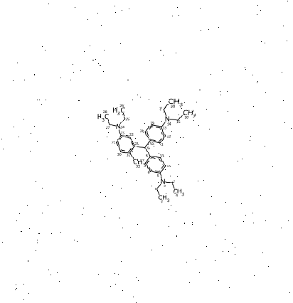 CCN(CC)c1ccc(C(c2ccc(N(CC)CC)cc2)c2cc(N(CC)CC)ccc2C)cc1